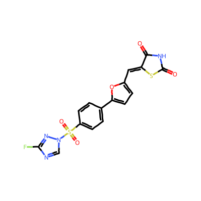 O=C1NC(=O)/C(=C/c2ccc(-c3ccc(S(=O)(=O)n4cnc(F)n4)cc3)o2)S1